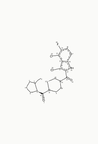 CN1CCC[C@@H]1C(=O)N1CCN(C(=O)c2[nH]c3ccc(F)c(Cl)c3c2Cl)CC1